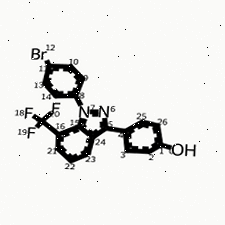 Oc1ccc(-c2nn(-c3ccc(Br)cc3)c3c(C(F)(F)F)cccc23)cc1